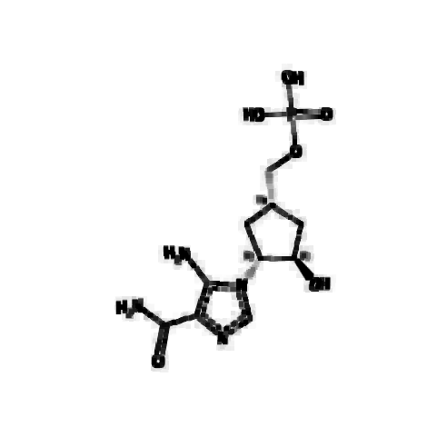 NC(=O)c1ncn([C@@H]2C[C@H](COP(=O)(O)O)C[C@H]2O)c1N